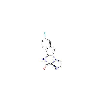 O=c1[nH]c2c(n3ccnc13)Cc1cc(F)ccc1-2